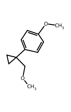 COCC1(c2ccc(OC)cc2)CC1